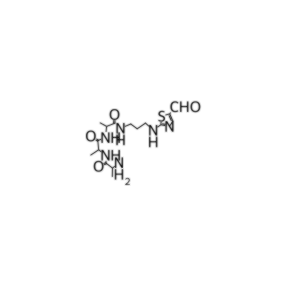 CC(N)C(=O)NC(C)C(=O)NC(C)C(=O)NCCCNc1ncc(C=O)s1